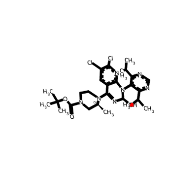 CC(C)c1ncnc(C(C)C)c1N1c2nc(Cl)c(Cl)cc2C(N2CCN(C(=O)OC(C)(C)C)C[C@@H]2C)=NC1O